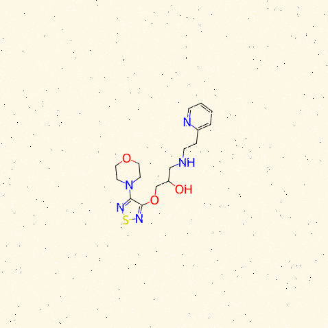 OC(CNCCc1ccccn1)COc1nsnc1N1CCOCC1